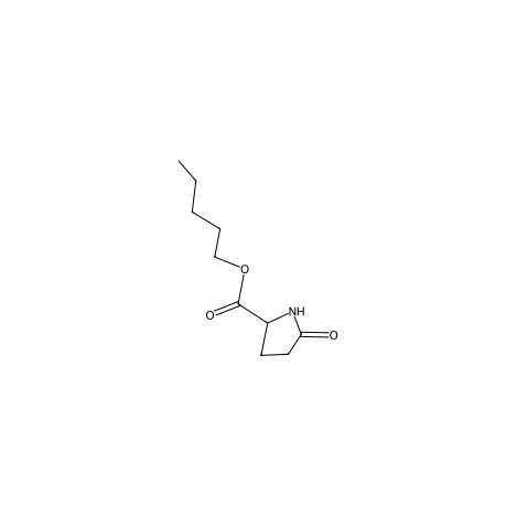 CCCCCOC(=O)C1CCC(=O)N1